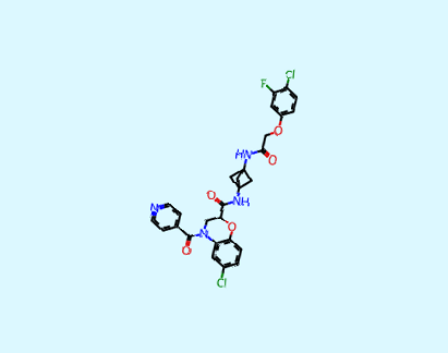 O=C(COc1ccc(Cl)c(F)c1)NC12CC(NC(=O)C3CN(C(=O)c4ccncc4)c4cc(Cl)ccc4O3)(C1)C2